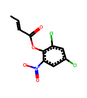 CC=CC(=O)Oc1c(Cl)cc(Cl)cc1[N+](=O)[O-]